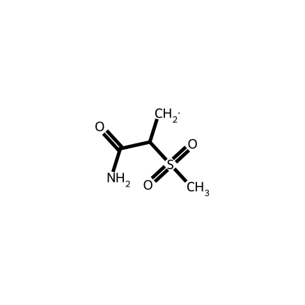 [CH2]C(C(N)=O)S(C)(=O)=O